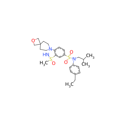 CCc1ccc(N(CC(C)C)S(=O)(=O)c2ccc(N3CCC4(CC3)COC4)c(S(C)(=N)=O)c2)cc1